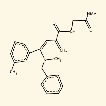 C=C(/C=C(/c1cccc(C)c1)N(C)Cc1ccccc1)C(=O)NCC(=O)NC